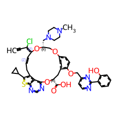 C#C/C(Cl)=C1\C=C/Cc2c(C3CC3)sc3ncnc(c23)O[C@@H](C(=O)O)Cc2cc(ccc2OCc2ccnc(-c3ccccc3O)n2)OC[C@@H](CN2CCN(C)CC2)O1